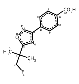 CC(C)(CF)c1nc(-c2ccc(C(=O)O)cc2)no1